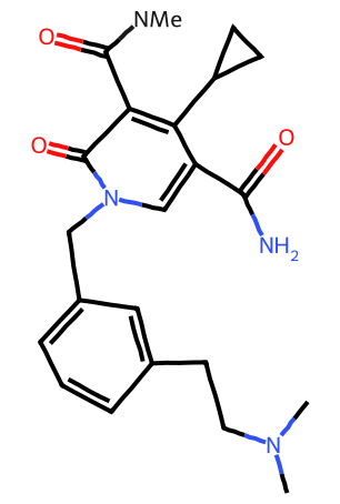 CNC(=O)c1c(C2CC2)c(C(N)=O)cn(Cc2cccc(CCN(C)C)c2)c1=O